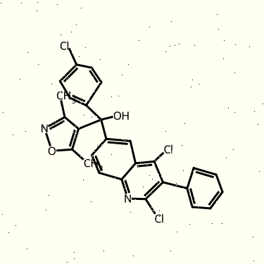 Cc1noc(C)c1C(O)(c1ccc(Cl)cc1)c1ccc2nc(Cl)c(-c3ccccc3)c(Cl)c2c1